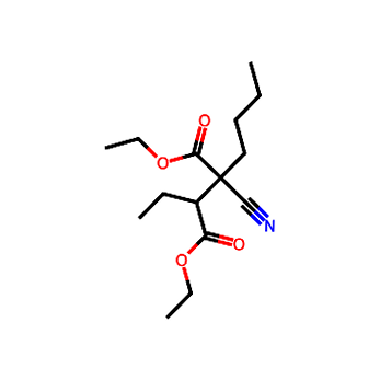 CCCCC(C#N)(C(=O)OCC)C(CC)C(=O)OCC